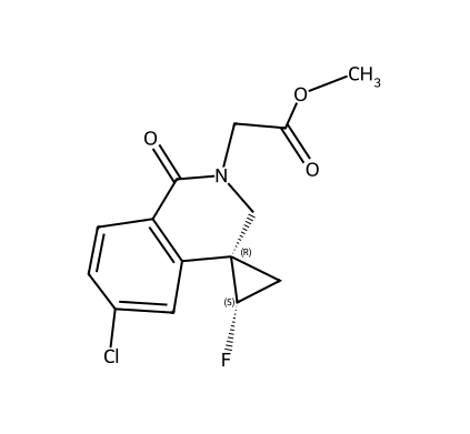 COC(=O)CN1C[C@@]2(C[C@@H]2F)c2cc(Cl)ccc2C1=O